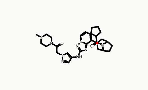 CN1CCN(C(=O)Cn2cc(Nc3nc4c(N5CC6CCC(C5)N6C(=O)C5CCCC5)cccn4n3)cn2)CC1